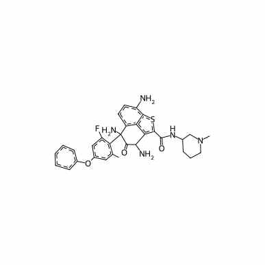 Cc1cc(Oc2ccccc2)cc(F)c1C1(N)C(=O)C(N)c2c(C(=O)NC3CCCN(C)C3)sc3c(N)ccc1c23